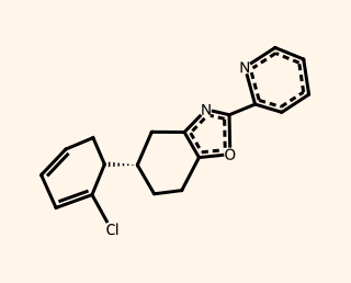 ClC1=CC=CCC1[C@H]1CCc2oc(-c3ccccn3)nc2C1